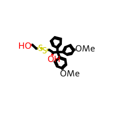 COc1ccc(C(c2ccccc2)(c2ccc(OC)cc2)C(O)CSSCCO)cc1